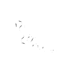 COCC(=O)NNC(=O)c1c(C)nc2c(OCc3c(F)cccc3F)cc(C)cn12